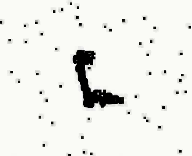 CCc1cnn2c(NCc3ccc(OCCOCCOCCOCCOCCOCCOCCN4C(=O)OCc5cnc(N[C@@H](C)c6ccc([C@H](CC7CC7)N7CCN(C(=O)OC(C)(C)C)CC7)cc6)nc54)nc3)cc(N3CCCC[C@H]3CCO)nc12